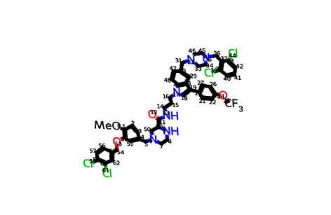 COc1ccc(CN2CCNC(C(=O)NCCCn3cc(-c4ccc(OC(F)(F)F)cc4)c4cc(CN5CCN(Cc6c(Cl)cccc6Cl)CC5)ccc43)C2)cc1OCc1ccc(Cl)c(Cl)c1